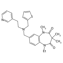 CCN1C(=O)C(C)(C)C(=O)N(C)c2cc(CN(CCc3cccnc3)Cc3cccs3)ccc21